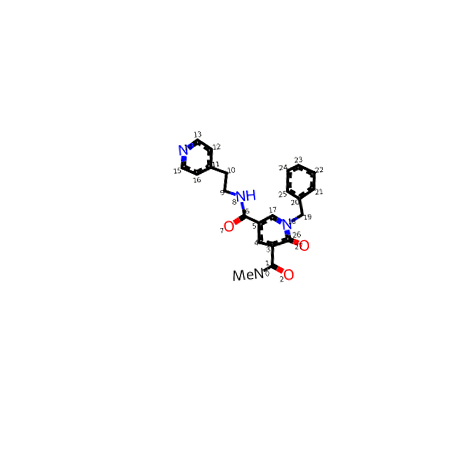 CNC(=O)c1cc(C(=O)NCCc2ccncc2)cn(Cc2ccccc2)c1=O